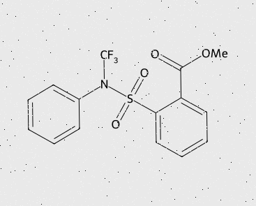 COC(=O)c1ccccc1S(=O)(=O)N(c1ccccc1)C(F)(F)F